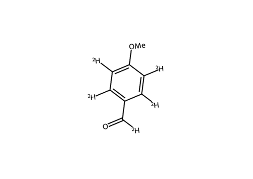 [2H]C(=O)c1c([2H])c([2H])c(OC)c([2H])c1[2H]